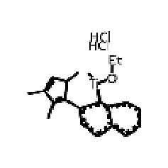 CC[O][Ti]([CH3])[c]1c(C2=C(C)C(C)=CC2C)ccc2ccccc12.Cl.Cl